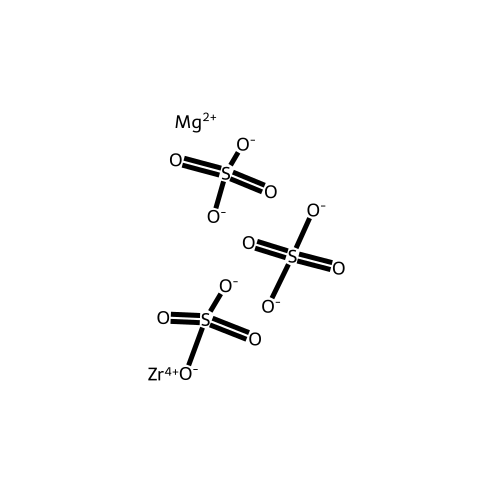 O=S(=O)([O-])[O-].O=S(=O)([O-])[O-].O=S(=O)([O-])[O-].[Mg+2].[Zr+4]